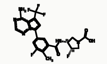 Cc1c(F)cc(-c2cc(C(F)(F)F)c3c(N)ncnn23)cc1C(=O)N[C@@H]1CN(C(=O)O)C[C@@H]1F